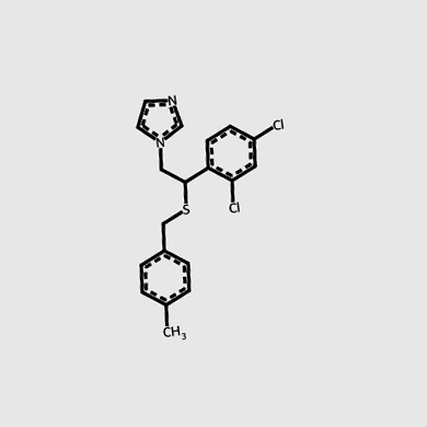 Cc1ccc(CSC(Cn2ccnc2)c2ccc(Cl)cc2Cl)cc1